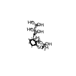 O=S(=O)(O)c1ccccc1F.OB(O)F.OB(O)F.OB(O)F.[LiH]